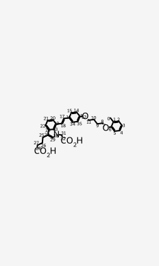 Cc1ccccc1OCCCCOc1ccc(/C=C/c2cccc3c(CCCC(=O)O)cn(CC(=O)O)c23)cc1